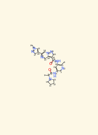 Cc1ncc(NC(=O)C(C)N2CCCC2)cc1NC(=O)c1cnn2cc(-c3cnn(C)c3)ncc12